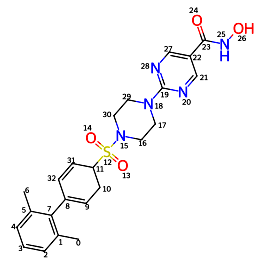 Cc1cccc(C)c1C1=CCC(S(=O)(=O)N2CCN(c3ncc(C(=O)NO)cn3)CC2)C=C1